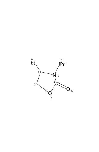 CCC1COC(=O)N1C(C)C